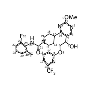 COc1ncc(C(O)COc2cccc(C(F)(F)F)n2)c(C2CCN(C(=O)Nc3c(F)cccc3F)CC2)n1